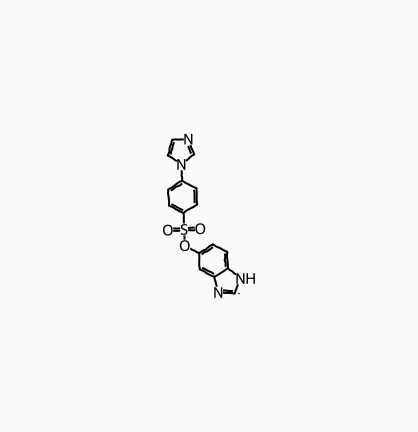 O=S(=O)(Oc1ccc2[nH][c]nc2c1)c1ccc(-n2ccnc2)cc1